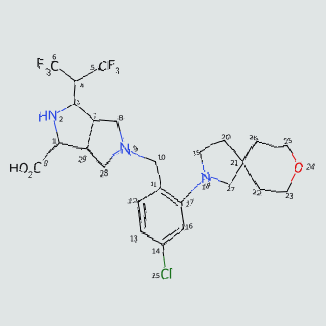 O=C(O)C1NC(C(C(F)(F)F)C(F)(F)F)C2CN(Cc3ccc(Cl)cc3N3CCC4(CCOCC4)C3)CC12